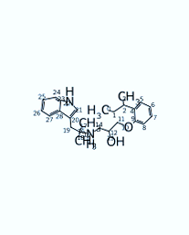 CCC(C)c1ccccc1OCC(O)CNC(C)(C)Cc1c[nH]c2ccccc12